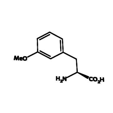 COc1cccc(C[C@H](N)C(=O)O)c1